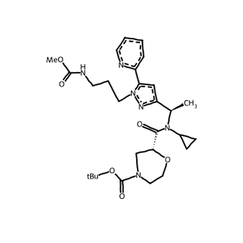 COC(=O)NCCCn1nc([C@@H](C)N(C(=O)[C@H]2CN(C(=O)OC(C)(C)C)CCO2)C2CC2)cc1-c1ccccn1